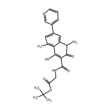 Cc1cc(-c2cccnc2)cc2c1C(O)=C(C(=O)NCC(=O)OC(C)(C)C)C(=O)C2C